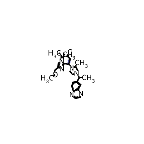 COCc1cn(N(C)C)c(/C(=C\C=O)N2CCN(C(C)c3ccc4nccnc4c3)CC2C)n1